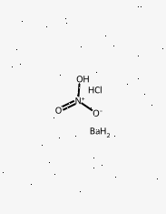 Cl.O=[N+]([O-])O.[BaH2]